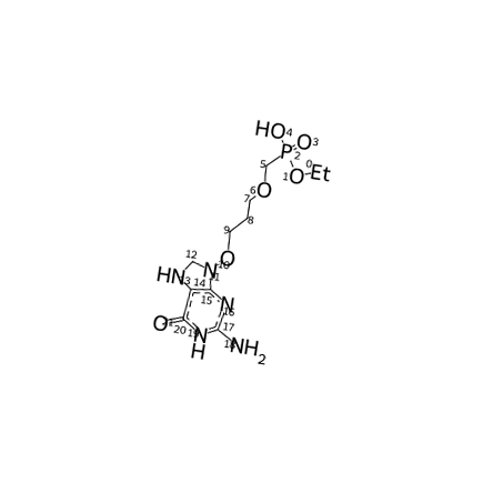 CCOP(=O)(O)COCCCON1CNc2c1nc(N)[nH]c2=O